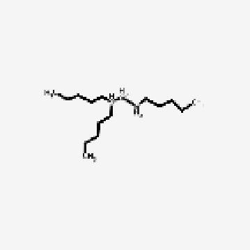 CCCCC[SiH2][SiH2][SiH](CCCCC)CCCCC